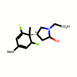 CCOC(=O)CN1C[C@@H](C2(C)C(F)=CC(OC)=CC2F)CC1O